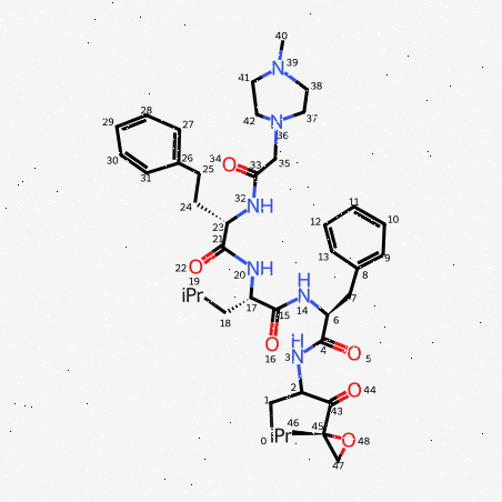 CC(C)CC(NC(=O)[C@H](Cc1ccccc1)NC(=O)[C@H](CC(C)C)NC(=O)[C@H](CCc1ccccc1)NC(=O)CN1CCN(C)CC1)C(=O)[C@@]1(C)CO1